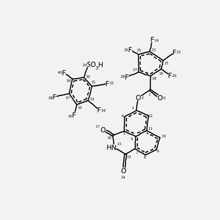 O=C(Oc1cc2c3c(cccc3c1)C(=O)NC2=O)c1c(F)c(F)c(F)c(F)c1F.O=S(=O)(O)c1c(F)c(F)c(F)c(F)c1F